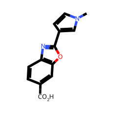 Cn1ccc(-c2nc3ccc(C(=O)O)cc3o2)c1